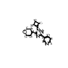 [c]1cncc(-c2nc(C3CCOCC3)n(C3CCC3)n2)c1